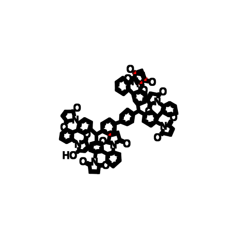 O=C1C=CC(=O)N1c1ccccc1-c1cc(C(c2ccc(-c3ccc(C(c4ccc(N5C(=O)C=CC5=O)c(-c5ccccc5N5C(=O)C=CC5=O)c4)c4ccc(N5C(=O)C=CC5=O)c(-c5ccccc5N5C(=O)C=CC5O)c4)cc3)cc2)c2ccc(N3C(=O)C=CC3=O)c(-c3ccccc3N3C(=O)C=CC3=O)c2)ccc1N1C(=O)C=CC1=O